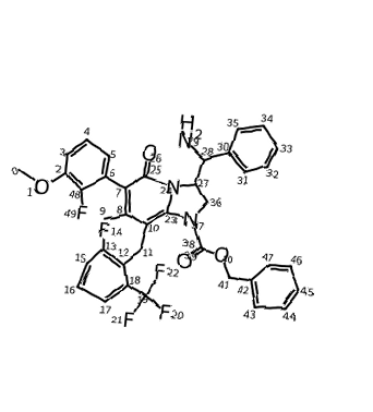 COc1cccc(-c2c(C)c(Cc3c(F)cccc3C(F)(F)F)c3n(c2=O)C(C(N)c2ccccc2)CN3C(=O)OCc2ccccc2)c1F